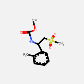 CC(C)(C)OC(=O)NC(CS(C)(=O)=O)c1ccccc1C(F)(F)F